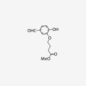 COC(=O)CCCOc1cc(C=O)ccc1O